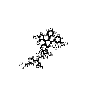 Nc1nc(C(=NO)C(=O)N[C@@H]2C(=O)N3C(C(=O)O)=C(C(=C4CCNC4=O)C(Cc4cccc(O)c4)c4ccncc4)CS[C@H]23)cs1